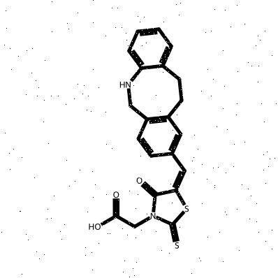 O=C(O)CN1C(=O)/C(=C\c2ccc3c(c2)CCc2ccccc2NC3)SC1=S